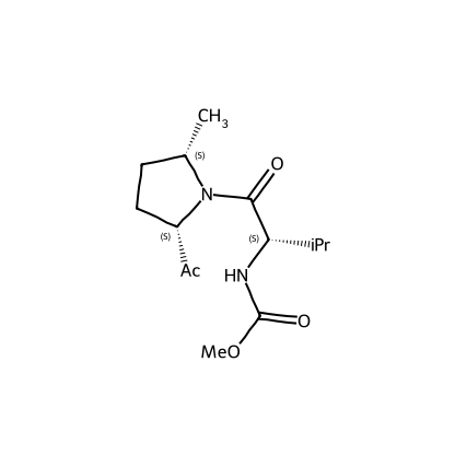 COC(=O)N[C@H](C(=O)N1[C@@H](C)CC[C@H]1C(C)=O)C(C)C